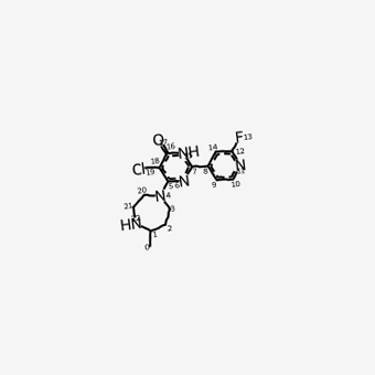 CC1CCN(c2nc(-c3ccnc(F)c3)[nH]c(=O)c2Cl)CCN1